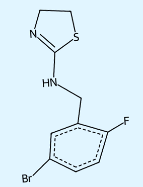 Fc1ccc(Br)cc1CNC1=NCCS1